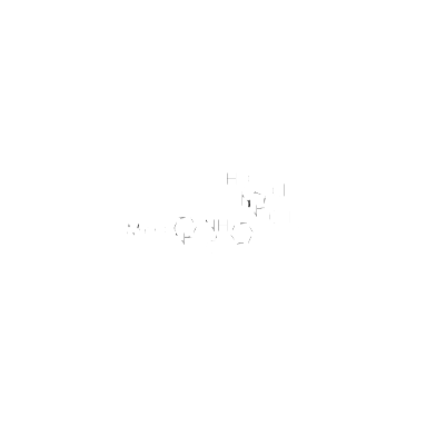 COc1ccc(NC(=O)c2cccc(-n3nc(C)c(Cl)c3C)c2)cn1